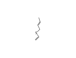 C=CSC/C=C/C